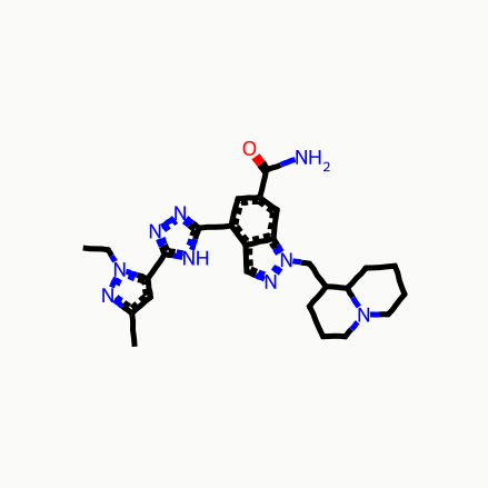 CCn1nc(C)cc1-c1nnc(-c2cc(C(N)=O)cc3c2cnn3CC2CCCN3CCCCC23)[nH]1